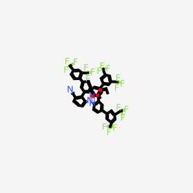 C=C(/C=C\C)Nc1ccc(-c2ccc(C(F)(F)F)cc2C(F)(F)F)cc1-c1c(C#N)cccc1-n1c2ccc(-c3cc(C(F)(F)F)cc(C(F)(F)F)c3)cc2c2cc(-c3cc(C(F)(F)F)cc(C(F)(F)F)c3)ccc21